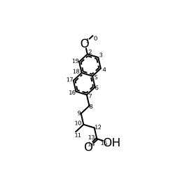 COc1ccc2cc(CCC(C)CC(=O)O)ccc2c1